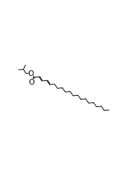 CCCCCCCCCCCCCCCC=CC=CC(=O)OCC(C)C